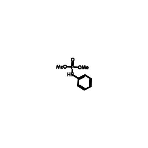 COP(=O)(Nc1ccccc1)OC